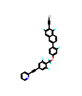 Fc1cc(OC(F)(F)c2c(F)cc(C#Cc3ccccn3)cc2F)ccc1-c1ccc2c(F)c(C#CC(F)(F)F)c(F)cc2c1